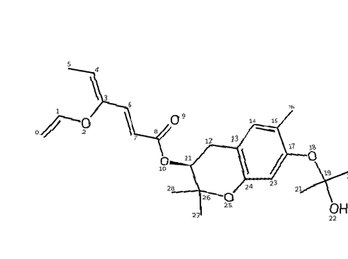 C=COC(=C\C)/C=C/C(=O)O[C@H]1Cc2cc(C)c(OC(C)(C)O)cc2OC1(C)C